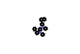 c1ccc(-c2cccc3c2c2ccc(N(c4ccccc4)c4ccc(-c5cccc6ccccc56)cc4)cc2n3-c2ccccc2)cc1